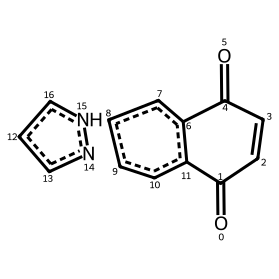 O=C1C=CC(=O)c2ccccc21.c1cn[nH]c1